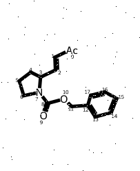 CC(=O)C=CC1CCCN1C(=O)OCc1ccccc1